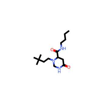 CCCCNC(=O)C1CC(=O)NCN1CCC(C)(C)C